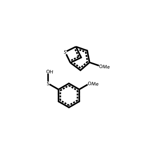 COc1cc2cc(c1)S2.COc1cccc(SO)c1